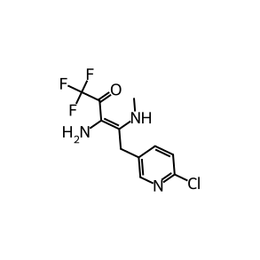 CNC(Cc1ccc(Cl)nc1)=C(N)C(=O)C(F)(F)F